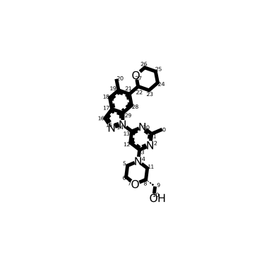 Cc1nc(N2CCO[C@@H](CO)C2)cc(-n2ncc3cc(C)c(C4CCCCO4)cc32)n1